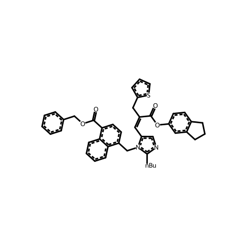 CCCCc1ncc(C=C(Cc2cccs2)C(=O)Oc2ccc3c(c2)CCC3)n1Cc1ccc(C(=O)OCc2ccccc2)c2ccccc12